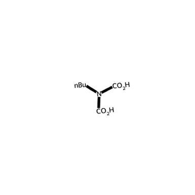 CCCCN(C(=O)O)C(=O)O